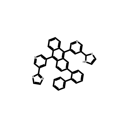 C1=CSC(c2cncc(-c3c4ccccc4c(-c4cncc(-c5nccs5)c4)c4ccc(-c5ccccc5-c5ccccc5)cc34)c2)N1